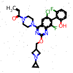 C=CC(=O)N1CCN(c2nc(OCC3CN(C4CC4)C3)nc3c(F)c(-c4c(O)cccc4F)c(Cl)cc23)CC1